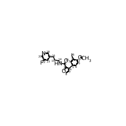 COc1ccc(-c2ccoc2C(=O)NCCCc2cncc(F)c2)cc1I